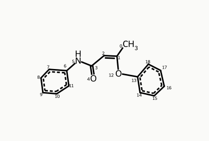 C/C(=C/C(=O)Nc1ccccc1)Oc1ccccc1